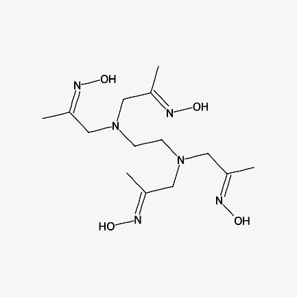 CC(CN(CCN(CC(C)=NO)CC(C)=NO)CC(C)=NO)=NO